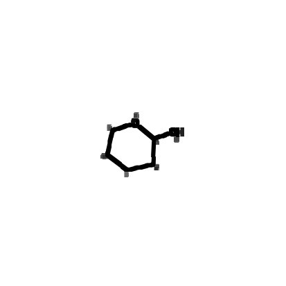 OC1CC[CH]CO1